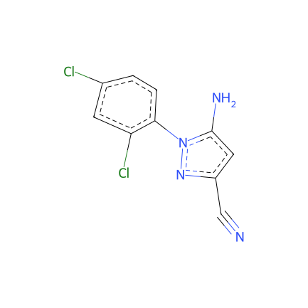 N#Cc1cc(N)n(-c2ccc(Cl)cc2Cl)n1